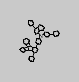 c1ccc(-c2ccc(N(c3ccc(-c4ccc(-c5ccccc5)c5c4C4c6ccccc6C46c4ccccc4C56)cc3)c3ccc(-c4ccccc4)c4ccccc34)cc2)cc1